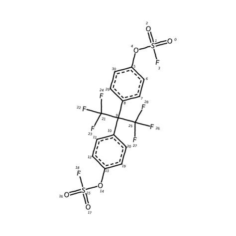 O=S(=O)(F)Oc1ccc(C(c2ccc(OS(=O)(=O)F)cc2)(C(F)(F)F)C(F)(F)F)cc1